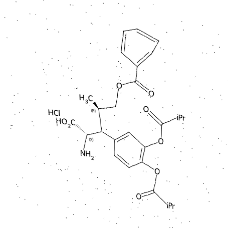 CC(C)C(=O)Oc1ccc(C([C@H](N)C(=O)O)[C@@H](C)COC(=O)c2ccccc2)cc1OC(=O)C(C)C.Cl